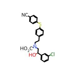 N#Cc1ccc(Sc2ccc(CCN(C[C@H](O)c3cccc(Cl)c3)C(=O)O)cc2)cc1